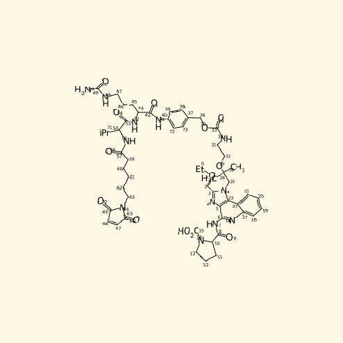 CCOCc1nc2c(NC(=O)C3CCCN3C(=O)O)nc3ccccc3c2n1CC(C)(C)OCCNC(=O)OCc1ccc(NC(=O)C(CCCNC(N)=O)NC(=O)C(NC(=O)CCCCCN2C(=O)C=CC2=O)C(C)C)cc1